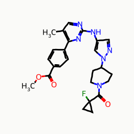 COC(=O)c1ccc(-c2nc(Nc3cnn(C4CCN(C(=O)C5(F)CC5)CC4)c3)ncc2C)cc1